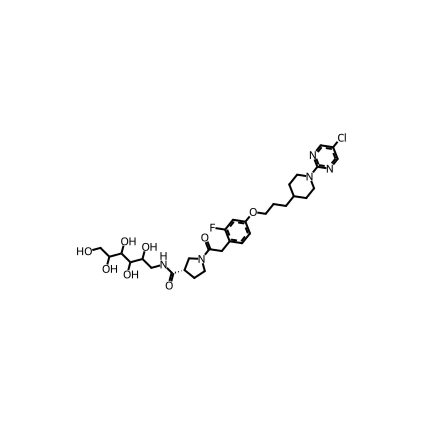 O=C(NCC(O)C(O)C(O)C(O)CO)[C@H]1CCN(C(=O)Cc2ccc(OCCCC3CCN(c4ncc(Cl)cn4)CC3)cc2F)C1